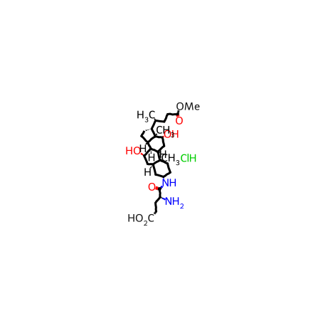 COC(=O)CC[C@@H](C)[C@H]1CC[C@H]2[C@@H]3[C@H](O)C[C@@H]4C[C@@H](NC(=O)[C@@H](N)CCC(=O)O)CC[C@]4(C)[C@H]3C[C@H](O)[C@]12C.Cl